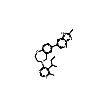 CCC(C)c1c(C)ncnc1N1CCOc2ccc(-c3cnc4nc(C)[nH]c4c3)cc2C1